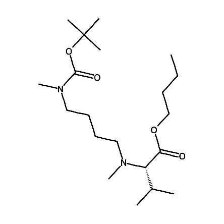 CCCCOC(=O)[C@H](C(C)C)N(C)CCCCN(C)C(=O)OC(C)(C)C